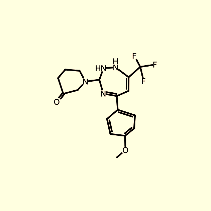 COc1ccc(C2=NC(N3CCCC(=O)C3)NNC(C(F)(F)F)=C2)cc1